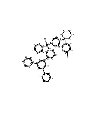 Cc1ccc(C2(c3ccc(P(=O)(c4ccccc4)c4cccc(-c5cc(-c6ccccc6)cc(-c6ccccc6)c5)c4)cc3)CCCCC2)cc1